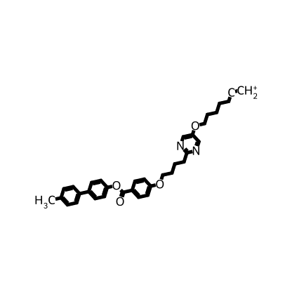 [CH2+][CH-]CCCCCOc1cnc(CCCCOc2ccc(C(=O)Oc3ccc(-c4ccc(C)cc4)cc3)cc2)nc1